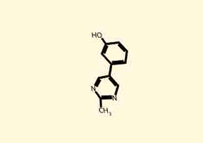 Cc1ncc(-c2cccc(O)c2)cn1